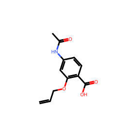 C=CCOc1cc(NC(C)=O)ccc1C(=O)O